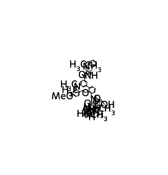 COc1ccc(COc2c(CN3O[C@@H](CO)[C@H]([C@H](C)O)[C@H]3C(=O)N[C@H]3C[C@H]4C[C@@H]([C@@H]3C)C4(C)C)cccc2-c2cc(C(=O)N[C@@H](Cc3ccccc3)CN(C)C)cc(N(C)C)c2)cc1